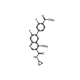 CNc1c(C(=O)NC2CC2)cnc2cc(F)c(-c3ccc(C(=O)OC)c(F)c3)cc12